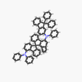 c1ccc(N(c2ccccc2)c2cccc3c2-c2ccccc2C32c3ccccc3-c3c(N(c4ccccc4)c4ccc5c(c4)C(c4ccccc4)(c4ccccc4)c4ccccc4-5)cc4ccccc4c32)cc1